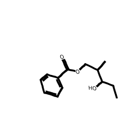 CCC(O)C(C)COC(=O)c1ccccc1